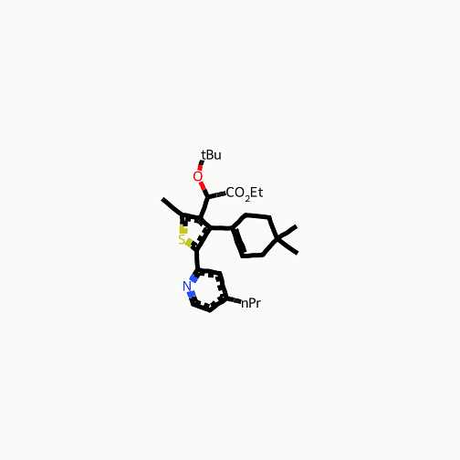 CCCc1ccnc(-c2sc(C)c(C(OC(C)(C)C)C(=O)OCC)c2C2=CCC(C)(C)CC2)c1